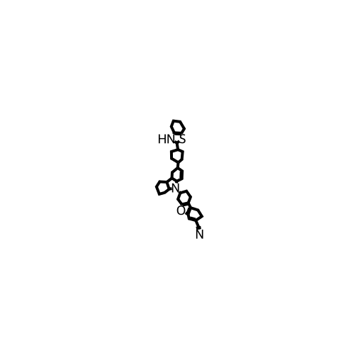 N#CC1=Cc2oc3c(c2CC1)CCC(N1C2C=CC(C4CCC(C5NC6=C(CCCC6)S5)CC4)CC2C2CCCCC21)C3